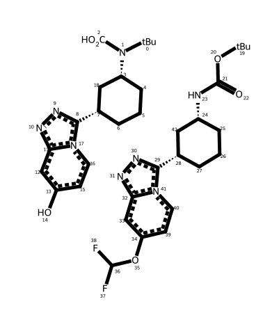 CC(C)(C)N(C(=O)O)[C@@H]1CCC[C@H](c2nnc3cc(O)ccn23)C1.CC(C)(C)OC(=O)N[C@@H]1CCC[C@H](c2nnc3cc(OC(F)F)ccn23)C1